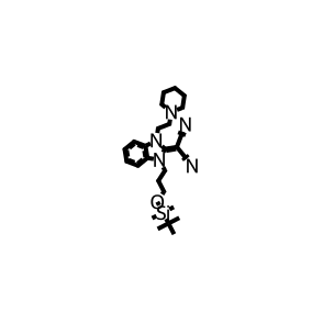 CC(C)(C)[Si](C)(C)OCCCN1C(=C(C#N)C#N)N(CCN2CCCCC2)c2ccccc21